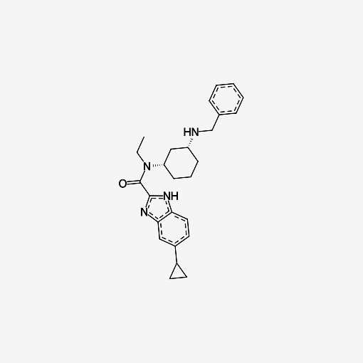 CCN(C(=O)c1nc2cc(C3CC3)ccc2[nH]1)[C@H]1CCC[C@@H](NCc2ccccc2)C1